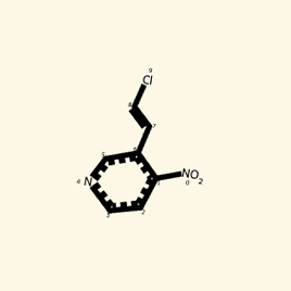 O=[N+]([O-])c1ccncc1/C=C/Cl